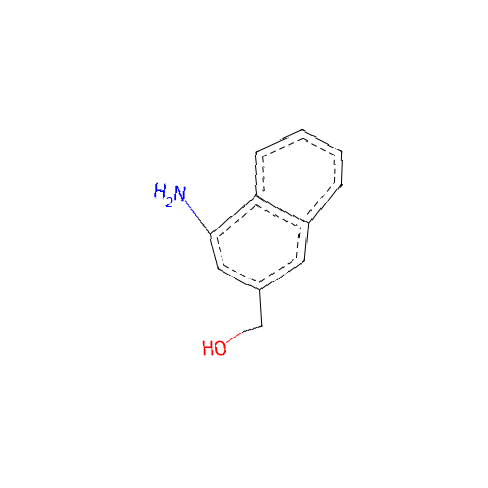 Nc1cc(CO)cc2ccccc12